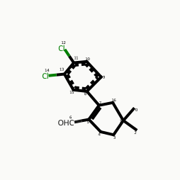 CC1(C)CCC(C=O)=C(c2ccc(Cl)c(Cl)c2)C1